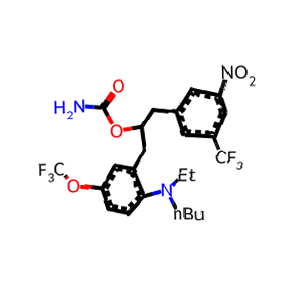 CCCCN(CC)c1ccc(OC(F)(F)F)cc1CC(Cc1cc([N+](=O)[O-])cc(C(F)(F)F)c1)OC(N)=O